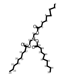 CCCCCCCCC(=O)OCN(COC(=O)CCCCCCCC)OC(=O)CCCCCCCC